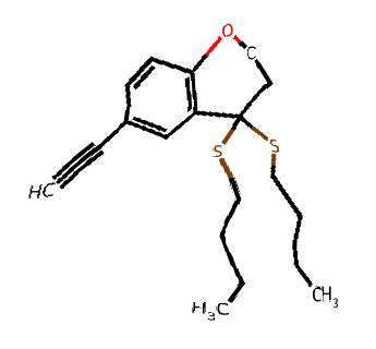 C#Cc1ccc2c(c1)C(SCCCC)(SCCCC)CCO2